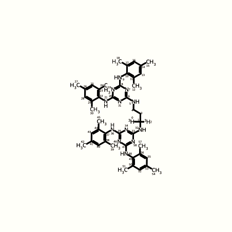 [3H]C([3H])(CCNc1nc(Nc2c(C)cc(C)cc2C)nc(Nc2c(C)cc(C)cc2C)n1)Nc1nc(Nc2c(C)cc(C)cc2C)nc(Nc2c(C)cc(C)cc2C)n1